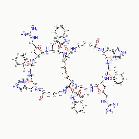 N=C(N)NCCC[C@@H]1NC(=O)[C@@H](Cc2ccccc2)NC(=O)[C@H](Cc2c[nH]cn2)NC(=O)CCCNC(=O)[C@@H]2CSSC[C@H](NC(=O)C(Cc3c[nH]c4ccccc34)NC1=O)C(=O)NCCCC(=O)N[C@@H](Cc1c[nH]cn1)C(=O)N[C@H](Cc1ccccc1)C(=O)N[C@@H](CCCNC(=N)N)C(=O)N[C@@H](Cc1c[nH]c3ccccc13)C(=O)N2